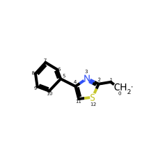 [CH2]Cc1nc(-c2ccccc2)cs1